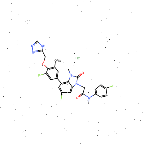 COc1cc(-c2cc(F)cc3c2n(C)c(=O)n3CC(=O)N(C)c2ccc(F)cc2)cc(F)c1OCc1nnc[nH]1.Cl